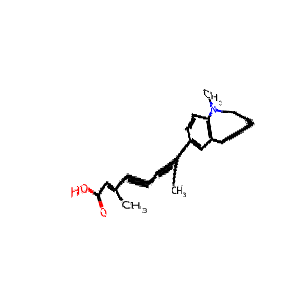 CC(/C=C/C=C(\C)c1ccc2c(c1)CCCN2C)=C\C(=O)O